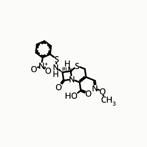 CON=CC1=C(C(=O)O)N2C(=O)[C@@H](NSc3ccccc3[N+](=O)[O-])[C@@H]2SC1